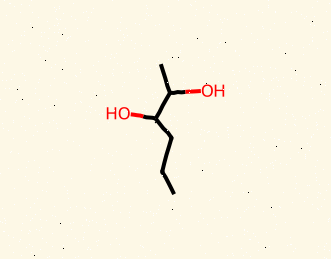 CCC[C](O)C(C)O